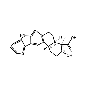 C[C@]1(C(=O)O)[C@@H](O)CC[C@]2(C)c3cc4c(cc3CC[C@@H]12)[nH]c1ccccc14